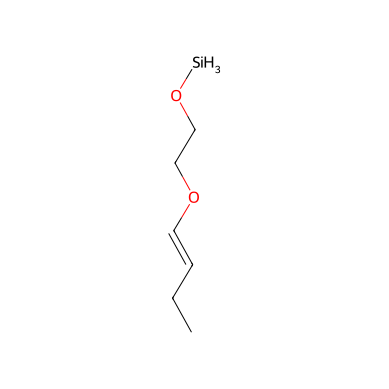 CCC=COCCO[SiH3]